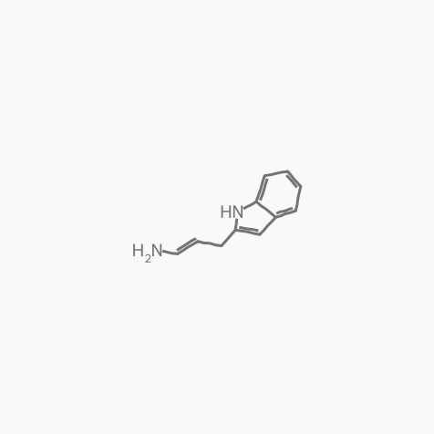 NC=CCc1cc2ccccc2[nH]1